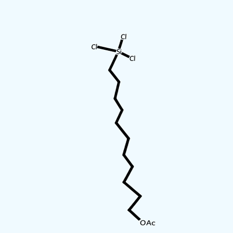 CC(=O)OCCCCCCCCCCC[Si](Cl)(Cl)Cl